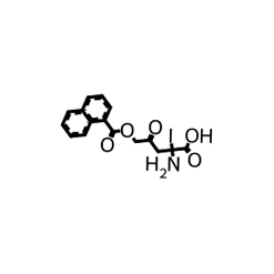 NC(I)(CC(=O)COC(=O)c1cccc2ccccc12)C(=O)O